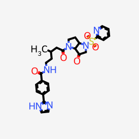 CC(CCNC(=O)c1ccc(-c2ncc[nH]2)cc1)CC(=O)N1CCC2C1C(=O)CN2S(=O)(=O)c1ccccn1